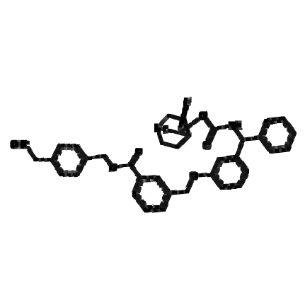 O=CCc1ccc(COC(=O)c2cccc(COc3cccc(C(NC(=O)O[C@H]4CN5CCC4CC5)c4ccccc4)c3)c2)cc1